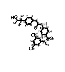 CC(O)C(F)(F)c1ccc(CC(=O)Nc2ccc(C(=O)N(C)c3cc(Cl)cc(Cl)c3)cc2)cc1